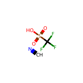 C#N.O=S(=O)(O)C(F)(F)F